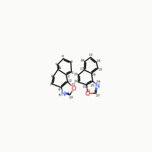 c1ccc2c(c1)ccc1ncoc12.c1ccc2c(c1)ccc1ocnc12